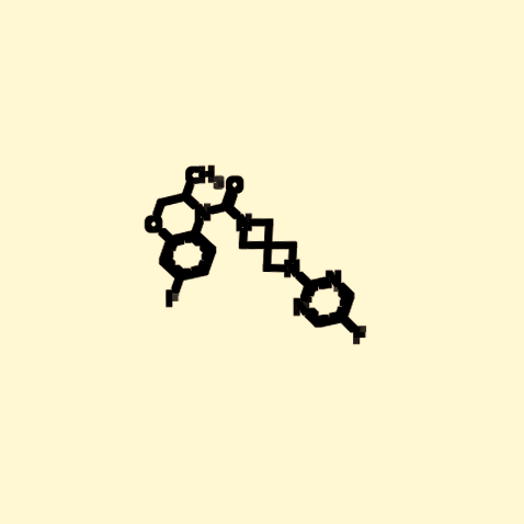 CC1COc2cc(F)ccc2N1C(=O)N1CC2(C1)CN(c1ncc(F)cn1)C2